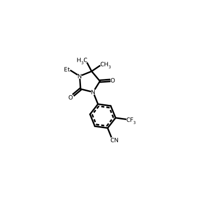 CCN1C(=O)N(c2ccc(C#N)c(C(F)(F)F)c2)C(=O)C1(C)C